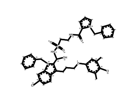 Cc1cc(OCCCc2c(C(O)NS(=O)(=O)CCNC(=O)c3cccn3Cc3ccccc3)n(Cc3ccccc3)c3cc(Cl)ccc23)cc(C)c1Cl